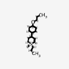 CCCOC1CCC(C2CC[Si](F)(CCC)CC2)CC1